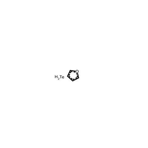 [TeH2].c1ccoc1